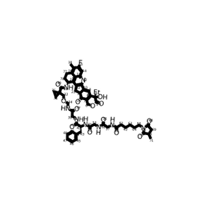 CC[C@@]1(O)C(=O)OCC2=C1C=C1c3nc4cc(F)c(C)c5c4c(c3CC1C2=O)[C@@H](NC(=O)C1(COCNC(=O)CNC(=O)[C@H](Cc2ccccc2)NC(=O)CNC(=O)CNC(=O)CCCCCN2C(=O)CC(C)C2=O)CC1)CC5